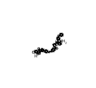 Nc1ncnc2c1c(-c1ccc(Oc3ccccc3)cc1)nn2[C@@H]1CCCN(C(=O)N2CCN(CCCC3CCN(c4ccc5c(c4)C(=O)N(C4CCC(=O)NC4=O)C5=O)CC3)CC2)C1